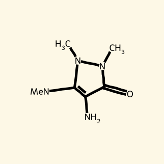 CNc1c(N)c(=O)n(C)n1C